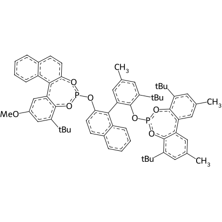 COc1cc(C(C)(C)C)c2op(Oc3ccc4ccccc4c3-c3cc(C)cc(C(C)(C)C)c3Op3oc4c(C(C)(C)C)cc(C)cc4c4cc(C)cc(C(C)(C)C)c4o3)oc3ccc4ccccc4c3c2c1